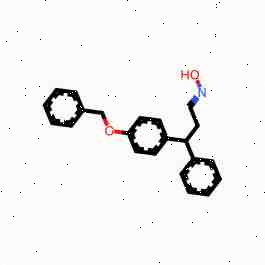 ON=CCC(c1ccccc1)c1ccc(OCc2ccccc2)cc1